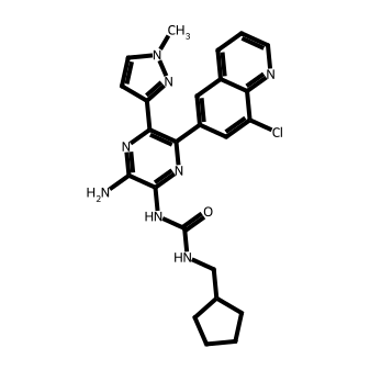 Cn1ccc(-c2nc(N)c(NC(=O)NCC3CCCC3)nc2-c2cc(Cl)c3ncccc3c2)n1